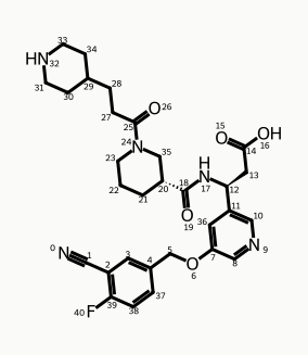 N#Cc1cc(COc2cncc([C@H](CC(=O)O)NC(=O)[C@@H]3CCCN(C(=O)CCC4CCNCC4)C3)c2)ccc1F